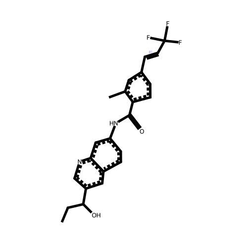 CCC(O)c1cnc2cc(NC(=O)c3ccc(/C=C/C(F)(F)F)cc3C)ccc2c1